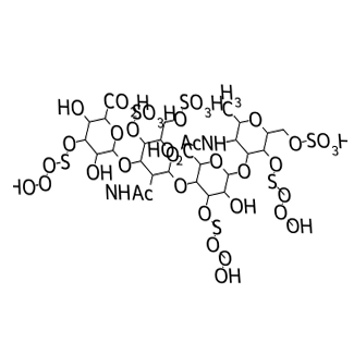 CC(=O)NC1C(C)OC(COS(=O)(=O)O)C(OSOOO)C1OC1OC(C(=O)O)C(OC2OC(COS(=O)(=O)O)C(OS(=O)(=O)O)C(OC3OC(C(=O)O)C(O)C(OSOOO)C3O)C2NC(C)=O)C(OSOOO)C1O